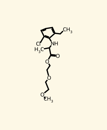 CCc1cccc(Cl)c1NC(C)C(=O)OCCOCCOC